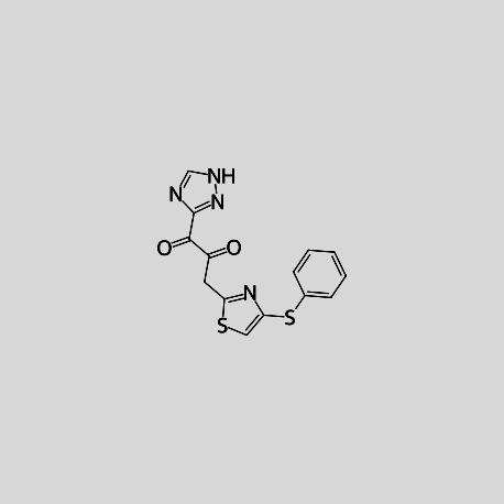 O=C(Cc1nc(Sc2ccccc2)cs1)C(=O)c1nc[nH]n1